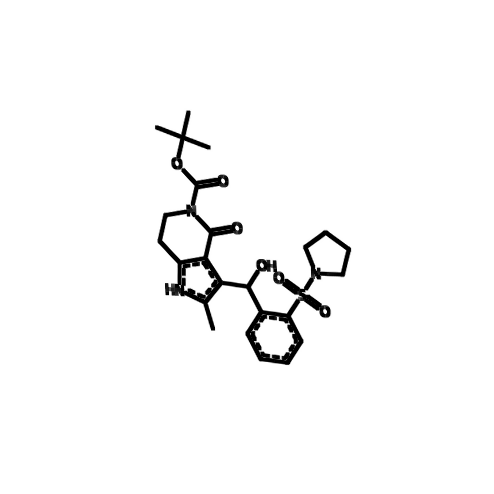 Cc1[nH]c2c(c1C(O)c1ccccc1S(=O)(=O)N1CCCC1)C(=O)N(C(=O)OC(C)(C)C)CC2